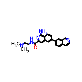 CN(C)CCNC(=O)c1cc2cc(-c3ccc4ccncc4c3)ccc2c(N)n1